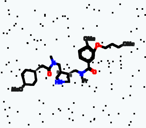 COCCCOc1cc(C(=O)N(C[C@@H]2CNC[C@H]2CN(C)C(=O)C[C@H]2CC[C@H](OC)CC2)C(C)C)ccc1OC